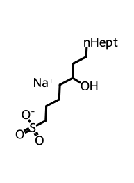 CCCCCCCCCC(O)CCCCS(=O)(=O)[O-].[Na+]